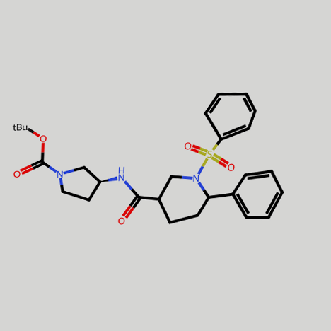 CC(C)(C)OC(=O)N1CC[C@H](NC(=O)C2CCC(c3ccccc3)N(S(=O)(=O)c3ccccc3)C2)C1